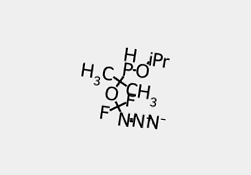 CC(C)OPC(C)(C)OC(F)(F)N=[N+]=[N-]